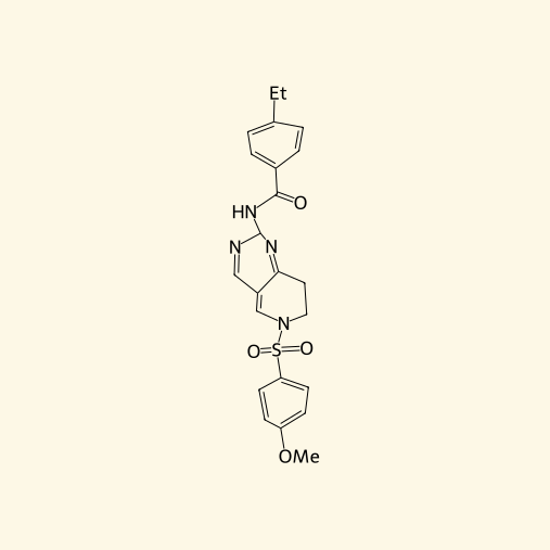 CCc1ccc(C(=O)NC2N=CC3=CN(S(=O)(=O)c4ccc(OC)cc4)CCC3=N2)cc1